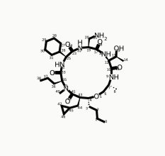 CCCC[C@H]1OC[C@@H](C)NC(=O)[C@H]([C@H](C)O)NC(=O)[C@H](CN)NC(=O)[C@H](C2CCCCC2)NC(=O)[C@H](CCC)N(C)C(=O)[C@@H]1CC1CC1